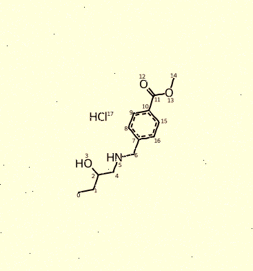 CCC(O)CNCc1ccc(C(=O)OC)cc1.Cl